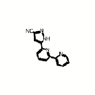 N#Cc1cc(-c2cccc(-c3ccccn3)n2)[nH]n1